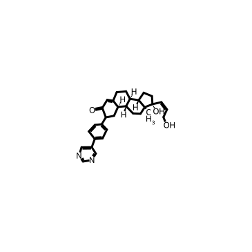 C[C@]12CC[C@H]3[C@@H](CCC4=CC(=O)C(c5ccc(-c6cncnc6)cc5)C[C@@H]43)[C@@H]1CC[C@@]2(O)/C=C\CO